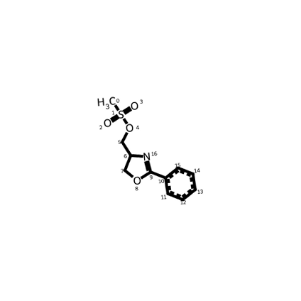 CS(=O)(=O)OCC1COC(c2ccccc2)=N1